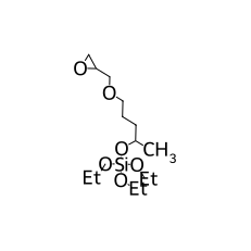 CCO[Si](OCC)(OCC)OC(C)CCCOCC1CO1